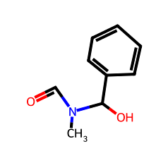 CN(C=O)C(O)c1ccccc1